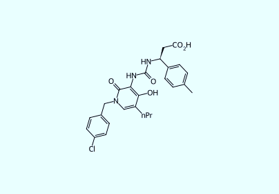 CCCc1cn(Cc2ccc(Cl)cc2)c(=O)c(NC(=O)N[C@@H](CC(=O)O)c2ccc(C)cc2)c1O